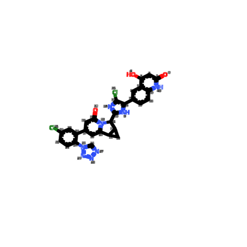 O=c1cc(O)c2cc(-c3[nH]c(C4C5CC5c5cc(-c6cc(Cl)ccc6-n6cnnn6)cc(=O)n54)nc3Cl)ccc2[nH]1